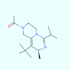 CC(=O)N1CCN2C(C(C)C)=N[C@@H](C)C(C(C)(C)C)=C2C1